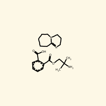 C1CCC2=NCCCN2CC1.CC(C)(N)COC(=O)c1ccccc1C(=O)O